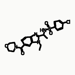 CCn1c(C(C)NS(=O)(=O)c2ccc(Cl)cc2)nc2ccc(C(=O)N3CCOCC3)cc21